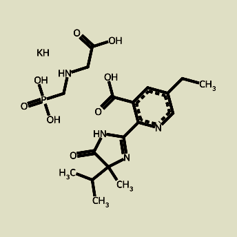 CCc1cnc(C2=NC(C)(C(C)C)C(=O)N2)c(C(=O)O)c1.O=C(O)CNCP(=O)(O)O.[KH]